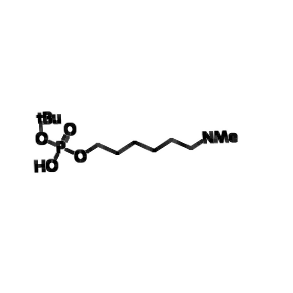 CNCCCCCCOP(=O)(O)OC(C)(C)C